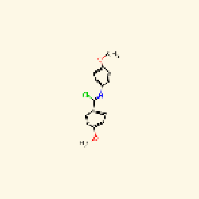 COc1ccc(N=C(Cl)c2ccc(OC)cc2)cc1